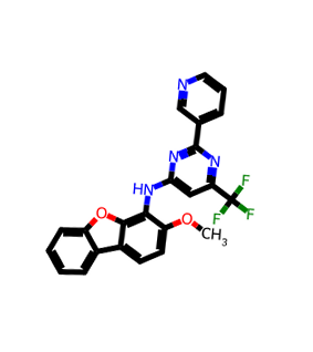 COc1ccc2c(oc3ccccc32)c1Nc1cc(C(F)(F)F)nc(-c2cccnc2)n1